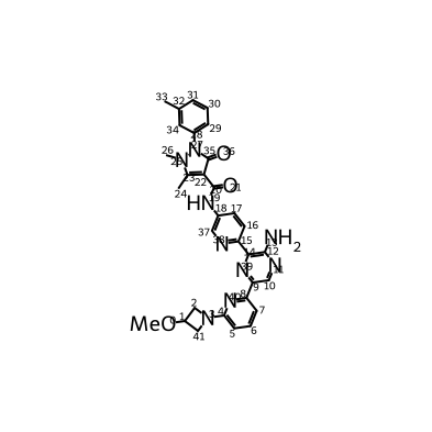 COC1CN(c2cccc(-c3cnc(N)c(-c4ccc(NC(=O)c5c(C)n(C)n(-c6cccc(C)c6)c5=O)cn4)n3)n2)C1